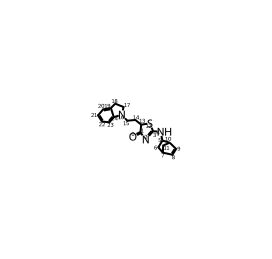 O=C1N=C(NC2CC3C=CC2C3)SC1CCN1CCc2ccccc21